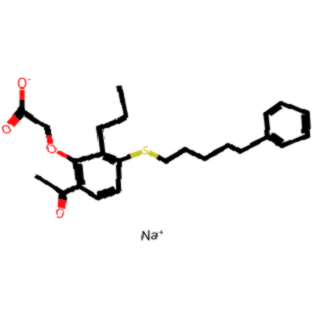 CCCc1c(SCCCCCc2ccccc2)ccc(C(C)=O)c1OCC(=O)[O-].[Na+]